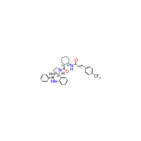 O=C(/C=C/c1ccc(C(F)(F)F)cc1)N[C@@H]1CCCC[C@@H]1C(=O)N1CC[C@H]2[C@H](c3ccccc3)Nc3ccccc3[C@@H]21